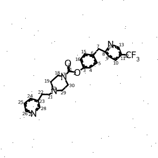 O=C(Oc1ccc(Cc2ccc(C(F)(F)F)cn2)cc1)N1CCN(CCc2cccnc2)CC1